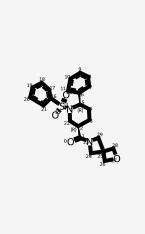 O=C([C@@H]1CC[C@H](c2ccccc2)N(S(=O)(=O)c2ccccc2)C1)N1CC2(COC2)C1